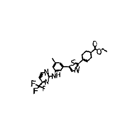 CCOC(=O)C1CC=C(c2ncc(-c3cc(C)cc(Nc4nccc(C(F)(F)F)n4)c3)s2)CC1